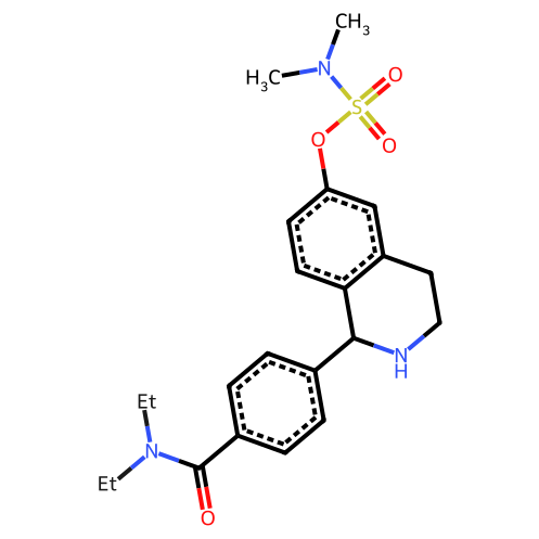 CCN(CC)C(=O)c1ccc(C2NCCc3cc(OS(=O)(=O)N(C)C)ccc32)cc1